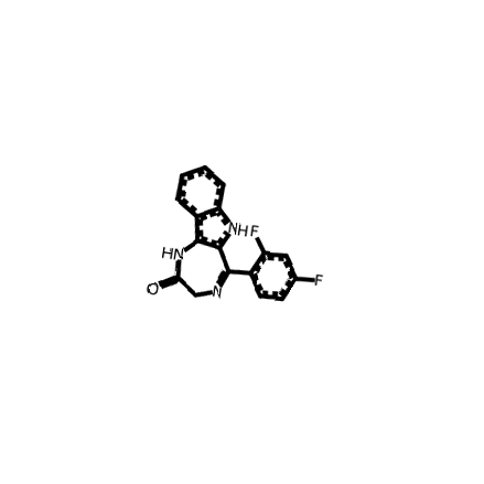 O=C1CN=C(c2ccc(F)cc2F)c2[nH]c3ccccc3c2N1